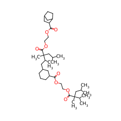 CC(C)CC(C)(C(=O)OCCOC(=O)C1CCCC(CC(C)C(C)(CC(C)C)C(=O)OCCOC(=O)C2CC3CCC2C3)C1)C(C)C